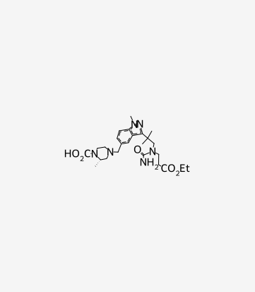 CCOC(=O)CCN(CC(C)(C)c1nn(C)c2ccc(CN3CCN(C(=O)O)[C@@H](C)C3)cc12)C(N)=O